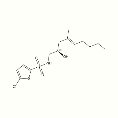 CCCCC=C(C)C[C@@H](O)CNS(=O)(=O)c1ccc(Cl)s1